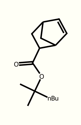 CCCCC(C)(C)OC(=O)C1CC2C=CC1C2